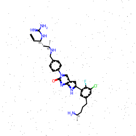 C=C[C@@H](C[C@H](C)NCc1ccc(-n2cc3cc(-c4cc(CCC[C@H](C)N)cc(Cl)c4F)[nH]c3nc2=O)cc1)NC(=N)N